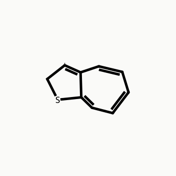 [C]1=C2C=CC=CC=C2SC1